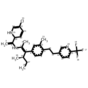 C=C(N/C(C)=C(/c1ccc(CCc2ccc(C(F)(F)F)nc2)c(C)c1)[C@H](C)CC)C1C=CC(Cl)=CN1